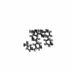 FC1(F)CCN(Cc2cncc(-c3cc4c(-c5nc6c(-c7cccnc7)ccnc6[nH]5)n[nH]c4cn3)c2)C1